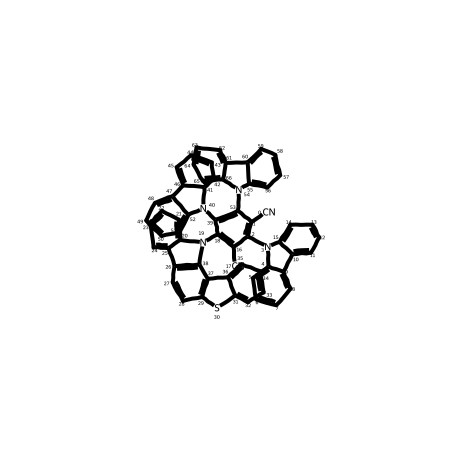 N#Cc1c(-n2c3ccccc3c3ccccc32)c(C#N)c(-n2c3ccccc3c3ccc4sc5ccccc5c4c32)c(-n2c3ccccc3c3ccccc32)c1-n1c2ccccc2c2ccccc21